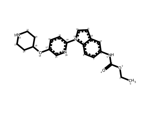 CCOC(=O)Nc1ccc2c(ccn2-c2ccc(OC3CCNCC3)cn2)c1